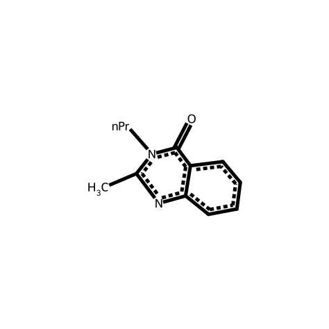 CCCn1c(C)nc2ccccc2c1=O